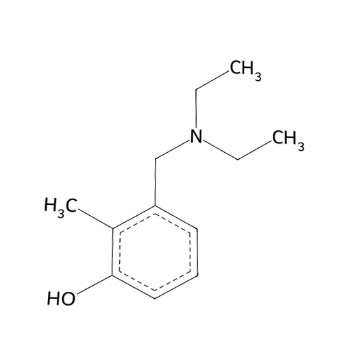 CCN(CC)Cc1cccc(O)c1C